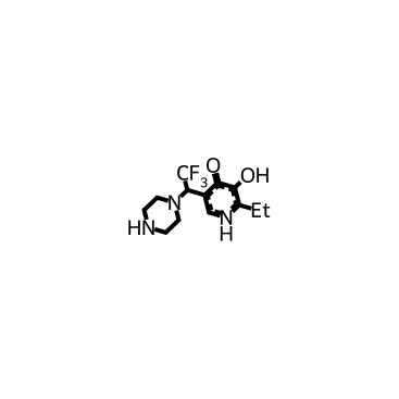 CCc1[nH]cc(C(N2CCNCC2)C(F)(F)F)c(=O)c1O